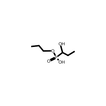 CCCOP(=O)(O)C(O)CC